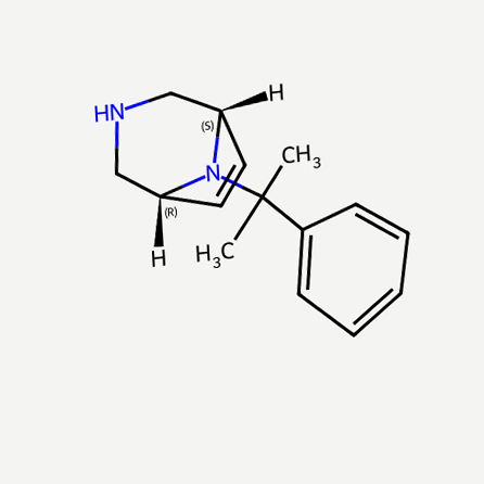 CC(C)(c1ccccc1)N1[C@@H]2C=C[C@H]1CNC2